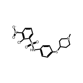 CN1CCC(Sc2ccc(NS(=O)(=O)c3cccc([N+](=O)[O-])c3Cl)cc2)CC1